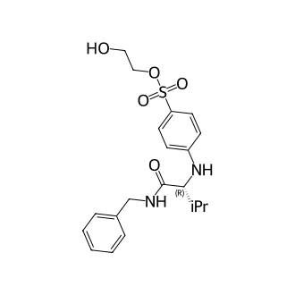 CC(C)[C@@H](Nc1ccc(S(=O)(=O)OCCO)cc1)C(=O)NCc1ccccc1